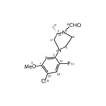 COc1cc(N2CCN(C=O)[C@@H](C)C2)c(F)cc1Cl